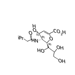 CC(C)CC(=O)N[C@@H]1[C@@H](O)C=C(C(=O)O)O[C@H]1C(O)C(O)CO